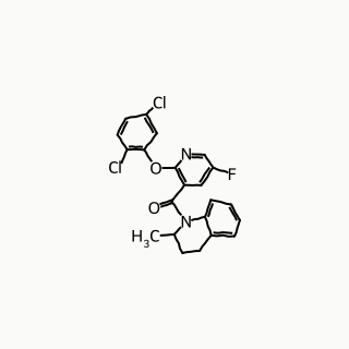 CC1CCc2ccccc2N1C(=O)c1cc(F)cnc1Oc1cc(Cl)ccc1Cl